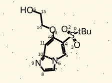 CC(C)(C)S(=O)(=O)c1cn2ccnc2cc1OCCO